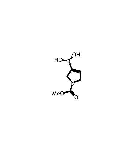 COC(=O)N1CC=C(B(O)O)C1